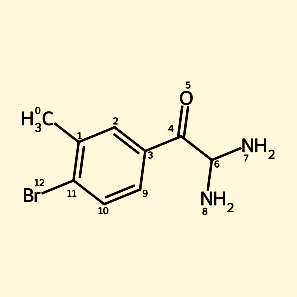 Cc1cc(C(=O)C(N)N)ccc1Br